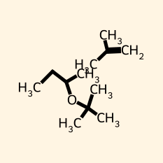 C=C(C)C.CCC(C)OC(C)(C)C